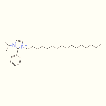 CCCCCCCCCCCCCCCC[n+]1ccn(C(C)C)c1-c1ccccc1